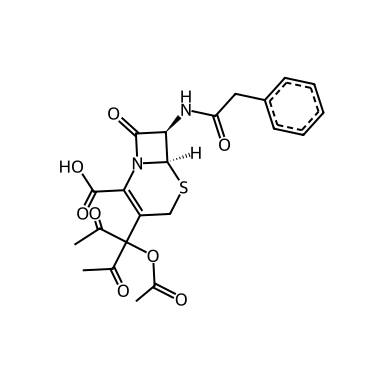 CC(=O)OC(C(C)=O)(C(C)=O)C1=C(C(=O)O)N2C(=O)[C@@H](NC(=O)Cc3ccccc3)[C@H]2SC1